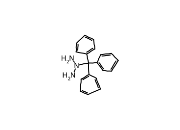 NN(N)C(c1ccccc1)(c1ccccc1)c1ccccc1